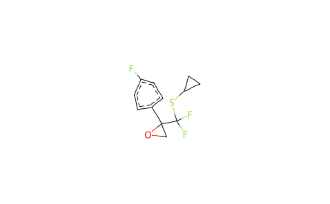 Fc1ccc(C2(C(F)(F)SC3CC3)CO2)cc1